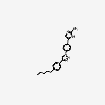 CCCCCc1ccc(-c2cn(-c3ccc(-c4cnc(N)[nH]4)cc3)nn2)cc1